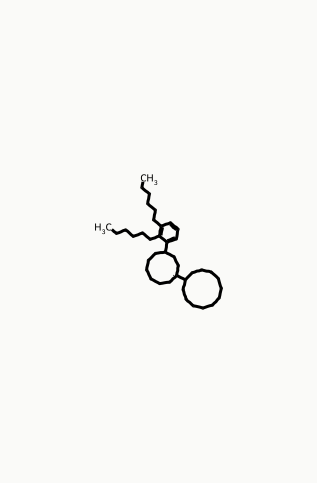 CCCCCCc1cccc(C2CCCCCC[C](C3CCCCCCCCCCC3)CC2)c1CCCCCC